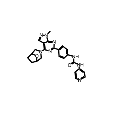 Cn1ncc2c(N3CC4CCC(C3)O4)nc(-c3ccc(NC(=O)Nc4ccncc4)cc3)nc21